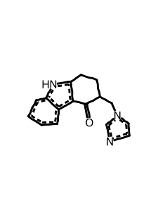 O=C1c2c([nH]c3ccccc23)CCC1Cn1ccnc1